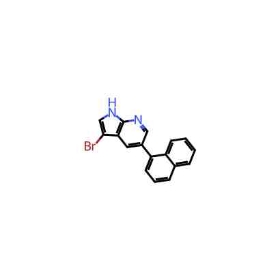 Brc1c[nH]c2ncc(-c3cccc4ccccc34)cc12